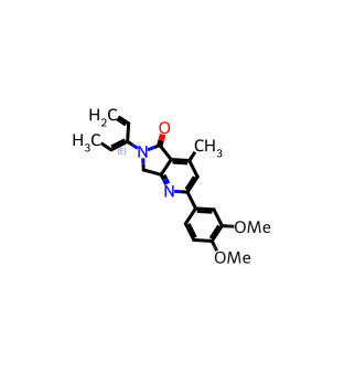 C=C/C(=C\C)N1Cc2nc(-c3ccc(OC)c(OC)c3)cc(C)c2C1=O